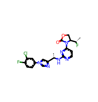 C[C@H](Nc1nccc(N2C(=O)OCC2[C@H](C)F)n1)c1cn(-c2ccc(F)c(Cl)c2)cn1